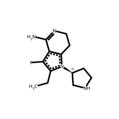 CCc1c(I)c2c(n1[C@H]1CCNC1)CCN=C2N